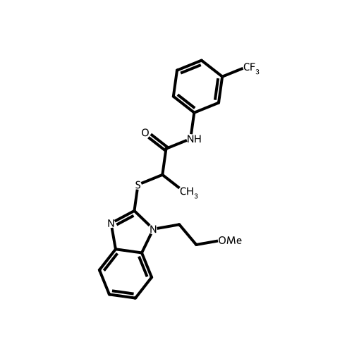 COCCn1c(SC(C)C(=O)Nc2cccc(C(F)(F)F)c2)nc2ccccc21